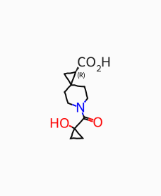 O=C(O)[C@@H]1CC12CCN(C(=O)C1(O)CC1)CC2